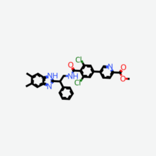 COC(=O)c1ccc(-c2cc(Cl)c(C(=O)NCC(c3ccccc3)c3nc4cc(C)c(C)cc4[nH]3)c(Cl)c2)cn1